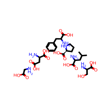 CC(C)CC(N)C(=O)O.NC(CC(=O)O)C(=O)O.NC(CO)C(=O)O.NC(Cc1ccccc1)C(=O)O.NCC(=O)O.O=C(O)[C@@H]1CCCN1